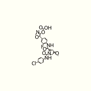 CO[C@@H]1C[C@H](C(=O)Nc2ccc(-c3ocnc3OC(=O)O)cc2F)N(C(=O)Nc2ccc(Cl)cc2)C1